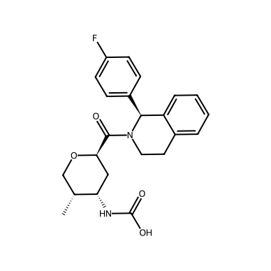 C[C@@H]1CO[C@@H](C(=O)N2CCc3ccccc3[C@@H]2c2ccc(F)cc2)C[C@@H]1NC(=O)O